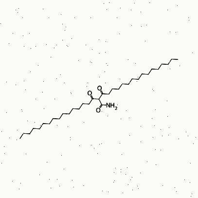 CCCCCCCCCCCCCCCC(=O)C(C(N)=O)C(=O)CCCCCCCCCCCCCCC